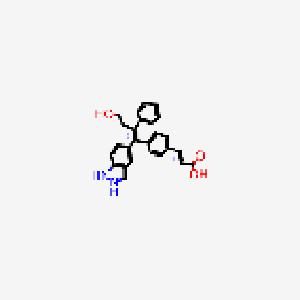 O=C(O)/C=C/c1ccc(/C(=C(/CCO)c2ccccc2)c2ccc3c(c2)CNN3)cc1